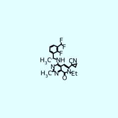 CCn1c(C2(C#N)CC2)cc2c(N[C@H](C)c3cccc(C(F)F)c3F)nc(C)nc2c1=O